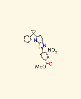 COC(=O)c1ccc(-c2nc3ccc(C4(c5ccccc5)CC4)nc3s2)c([N+](=O)[O-])c1